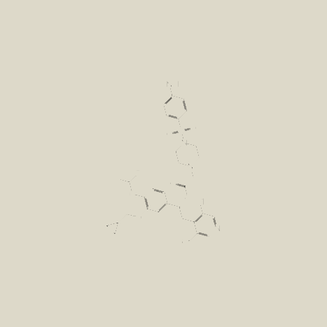 Nc1ccc(S(=O)(=O)N2CCN(CC(=O)OC(Cc3c(Cl)cncc3Cl)c3ccc(OC(F)F)c(OCC4CC4)c3)CC2)cc1